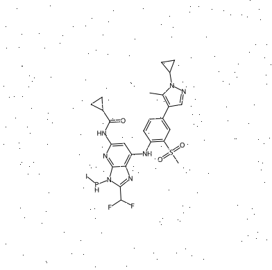 Cc1c(-c2ccc(Nc3cc(NC(=O)C4CC4)nc4c3nc(C(F)F)n4PI)c(S(C)(=O)=O)c2)cnn1C1CC1